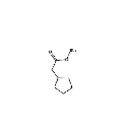 CC(C)(C)OC(=O)CC1CCCC1